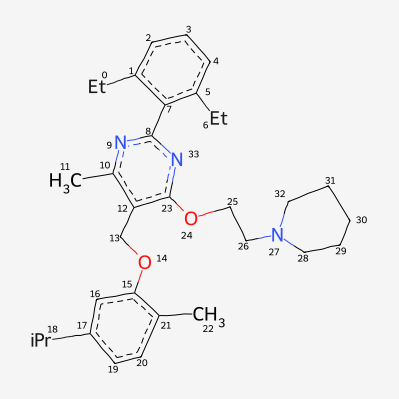 CCc1cccc(CC)c1-c1nc(C)c(COc2cc(C(C)C)ccc2C)c(OCCN2CCCCC2)n1